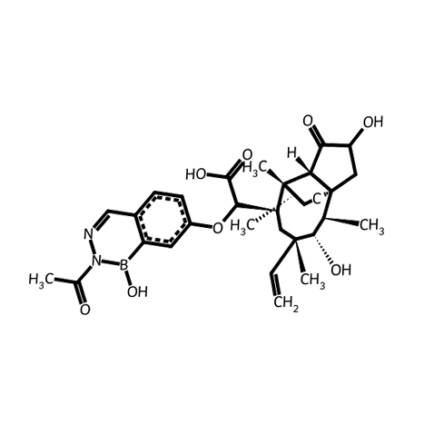 C=C[C@]1(C)C[C@@H](C(Oc2ccc3c(c2)B(O)N(C(C)=O)N=C3)C(=O)O)[C@@]2(C)[C@H](C)CC[C@]3(CC(O)C(=O)[C@H]32)[C@@H](C)[C@@H]1O